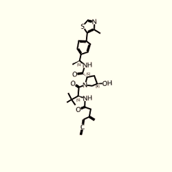 C=C=CC(=C)CC(=O)N[C@H](C(=O)N1C[C@H](O)C[C@H]1C(=O)N[C@@H](C)c1ccc(-c2scnc2C)cc1)C(C)(C)C